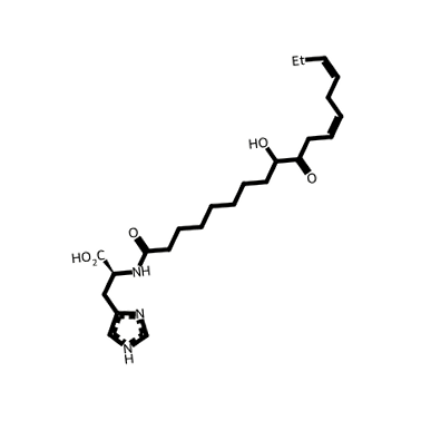 CC/C=C\C/C=C\CC(=O)C(O)CCCCCCCC(=O)N[C@@H](Cc1c[nH]cn1)C(=O)O